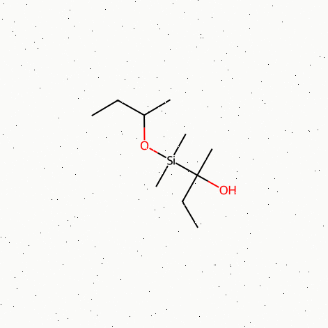 CCC(C)O[Si](C)(C)C(C)(O)CC